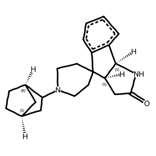 O=C1C[C@@H]2[C@H](N1)c1ccccc1C21CCN(C2C[C@H]3CC[C@@H]2C3)CC1